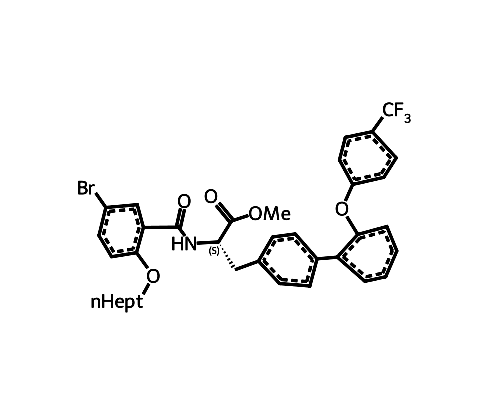 CCCCCCCOc1ccc(Br)cc1C(=O)N[C@@H](Cc1ccc(-c2ccccc2Oc2ccc(C(F)(F)F)cc2)cc1)C(=O)OC